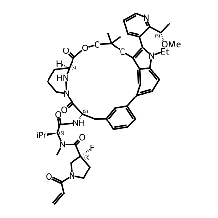 C=CC(=O)N1CC[C@](F)(C(=O)N(C)[C@H](C(=O)N[C@H]2Cc3cccc(c3)-c3ccc4c(c3)c(c(-c3cccnc3[C@H](C)OC)n4CC)CC(C)(C)COC(=O)[C@@H]3CCCN(N3)C2=O)C(C)C)C1